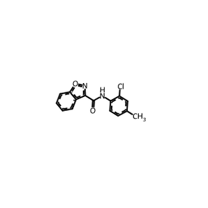 Cc1ccc(NC(=O)c2noc3ccccc23)c(Cl)c1